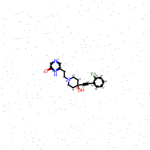 O=c1cncc(CCN2CCC(O)(C#Cc3ccccc3F)CC2)[nH]1